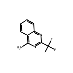 Nc1nc(C(F)(F)F)nc2cnccc12